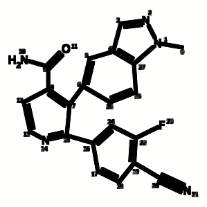 Cn1ncc2cc(-c3c(C(N)=O)ccnc3-c3ccc(C#N)c(F)c3)ccc21